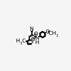 COc1ccc(NS(=O)(=O)/C(C#N)=C\c2sccc2C)cc1